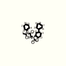 CC(O)N(C(=O)Cn1c(=O)oc2ccc(-c3ccccc3)cc21)c1ccccc1